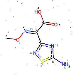 CO/N=C(/C(=O)O)c1nsc(N)n1